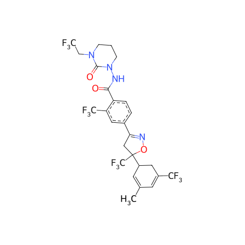 CC1=CC(C2(C(F)(F)F)CC(c3ccc(C(=O)NN4CCCN(CC(F)(F)F)C4=O)c(C(F)(F)F)c3)=NO2)CC(C(F)(F)F)=C1